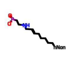 CCCCCCCCCCCCCC/C=C/CNCCP(=O)=O